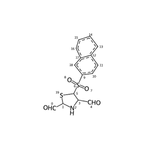 O=CC1NC(C=O)C(S(=O)(=O)c2ccc3ccccc3c2)S1